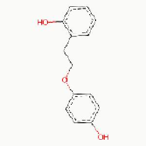 Oc1ccc(OCCc2ccccc2O)cc1